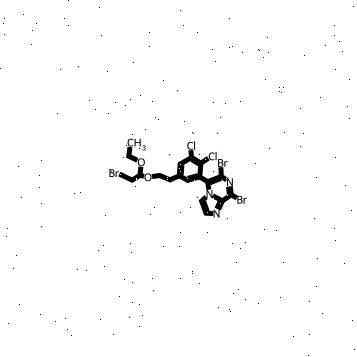 CCOC(CBr)OCCc1cc(Cl)c(Cl)c(-c2c(Br)nc(Br)c3nccn23)c1